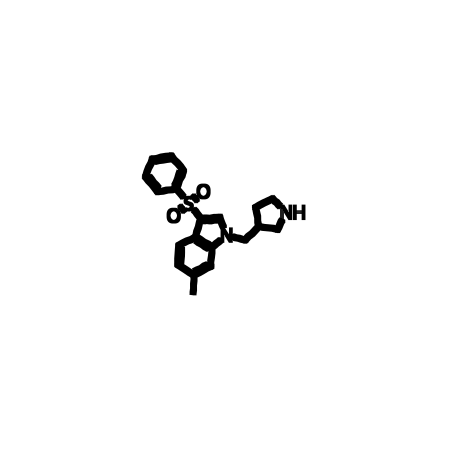 Cc1ccc2c(S(=O)(=O)c3ccccc3)cn(CC3CCNC3)c2c1